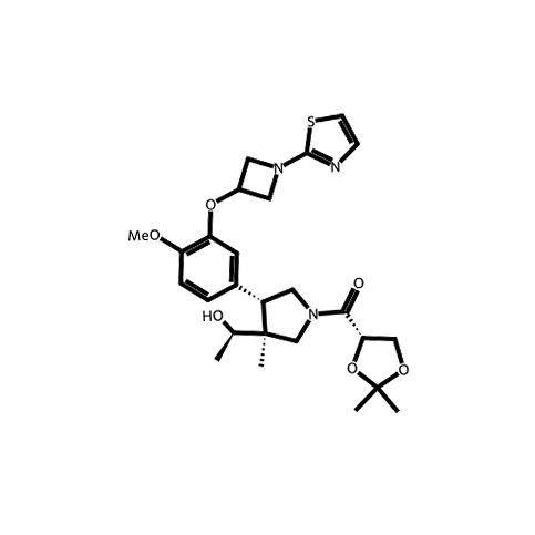 COc1ccc([C@@H]2CN(C(=O)[C@@H]3COC(C)(C)O3)C[C@@]2(C)[C@@H](C)O)cc1OC1CN(c2nccs2)C1